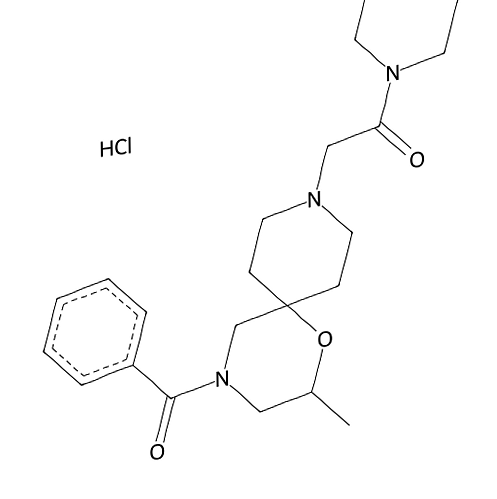 CC1CN(C(=O)c2ccccc2)CC2(CCN(CC(=O)N3CCCCC3)CC2)O1.Cl